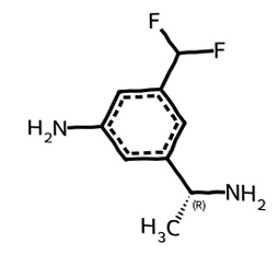 C[C@@H](N)c1cc(N)cc(C(F)F)c1